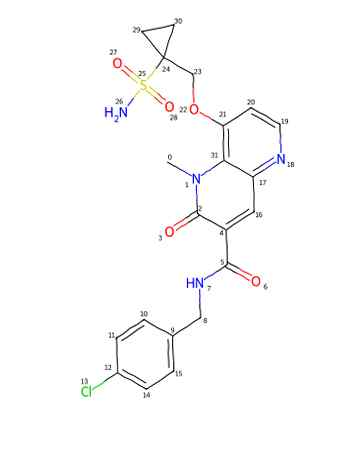 Cn1c(=O)c(C(=O)NCc2ccc(Cl)cc2)cc2nccc(OCC3(S(N)(=O)=O)CC3)c21